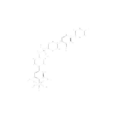 CC1CCC(c2ccc(C3CCC(C(F)(F)OC4CCC(c5cc(F)c(S(F)(F)(F)(F)F)c(F)c5)CC4)CC3)c(F)c2)CC1